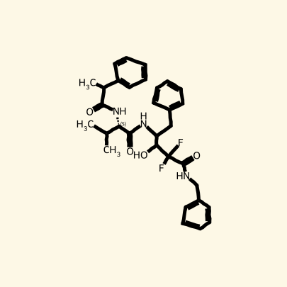 CC(C(=O)N[C@H](C(=O)NC(Cc1ccccc1)C(O)C(F)(F)C(=O)NCc1ccccc1)C(C)C)c1ccccc1